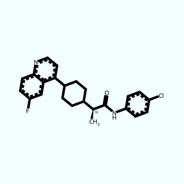 C[C@H](C(=O)Nc1ccc(Cl)cc1)C1CCC(c2ccnc3ccc(F)cc23)CC1